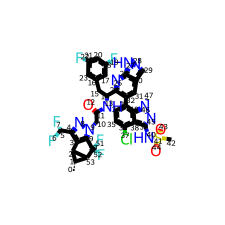 C[C@@H]1C2c3c(C(F)F)nn(CC(=O)NC(Cc4cc(F)cc(F)c4)c4nc5[nH]ncc5cc4-c4ccc(Cl)c5c(NS(C)(=O)=O)nn(C)c45)c3C(F)(F)C21